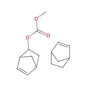 C1=CC2CCC1C2.COC(=O)OC1CC2C=CC1C2